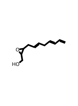 C=CC=CCC=CCC1OC1CO